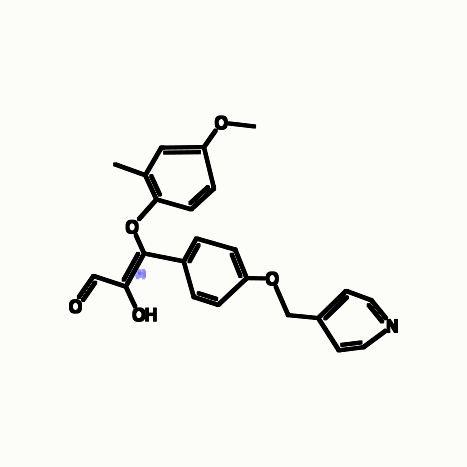 COc1ccc(O/C(=C(/O)C=O)c2ccc(OCc3ccncc3)cc2)c(C)c1